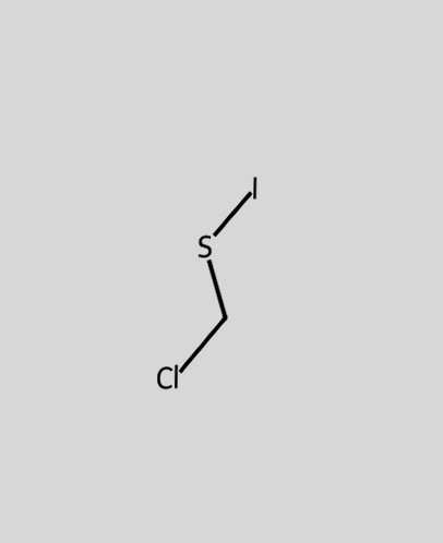 ClCSI